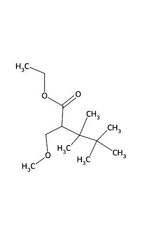 CCOC(=O)C(COC)C(C)(C)C(C)(C)C